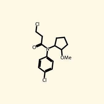 COC1CCCC1N(C(=O)CCCl)c1ccc(Cl)cc1